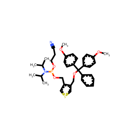 COc1ccc(C(OCc2cscc2COP(OCCC#N)N(C(C)C)C(C)C)(c2ccccc2)c2ccc(OC)cc2)cc1